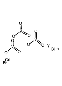 [Bi+3].[Bi].[Gd].[O]=[V](=[O])[O-].[O]=[V](=[O])[O-].[O]=[V](=[O])[O-].[Y]